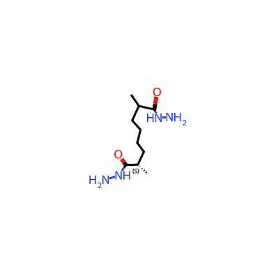 CC(CCCC[C@H](C)C(=O)NN)C(=O)NN